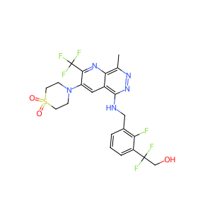 Cc1nnc(NCc2cccc(C(F)(F)CO)c2F)c2cc(N3CCS(=O)(=O)CC3)c(C(F)(F)F)nc12